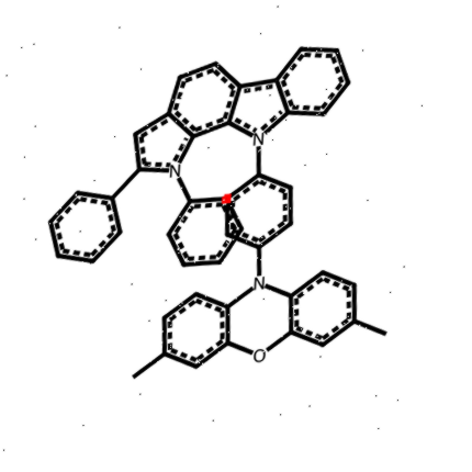 Cc1ccc2c(c1)Oc1cc(C)ccc1N2c1ccc(-n2c3ccccc3c3ccc4cc(-c5ccccc5)n(-c5ccccc5)c4c32)cc1